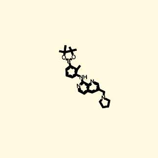 Cc1c(Nc2nccc3cc(CN4CCCC4)cnc23)cccc1B1OC(C)(C)C(C)(C)O1